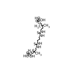 CC(C)(CCNC(=S)NCCCNC(=S)NCCC(C)(C)COP(=O)(O)O)COP(=O)(O)O